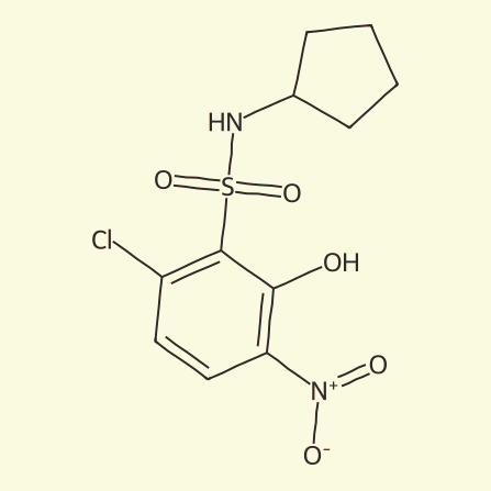 O=[N+]([O-])c1ccc(Cl)c(S(=O)(=O)NC2CCCC2)c1O